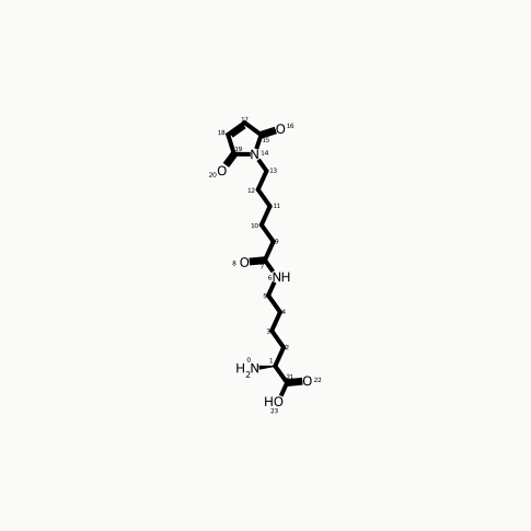 N[C@@H](CCCCNC(=O)CCCCCN1C(=O)C=CC1=O)C(=O)O